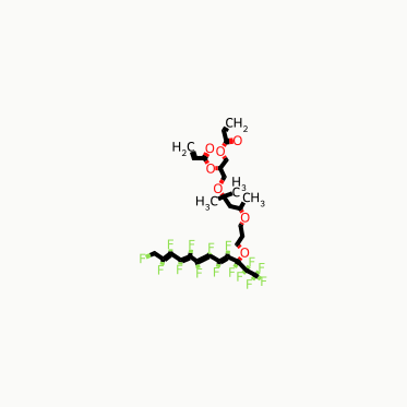 C=CC(=O)OCC(COC(C)(C)CC(C)OCCCOC(F)(/C(F)=C(F)/C(F)=C(F)/C(F)=C(F)/C(F)=C(\F)CF)C(F)(F)C(F)(F)F)OC(=O)C=C